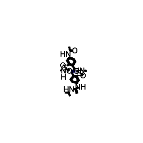 C=C(Nc1ccc(/C=C/c2ccc(NC(C)=O)cc2S(=O)(=O)NC)c(S(=O)(=O)NC)c1)NC(C)C